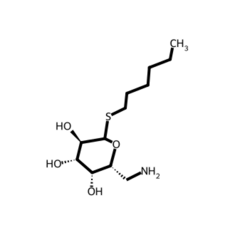 CCCCCCSC1O[C@H](CN)[C@H](O)[C@H](O)[C@H]1O